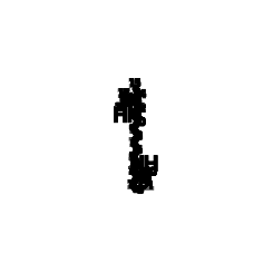 CCC(CNCCCCCCNCC(CC)N(C)C)N(C)C